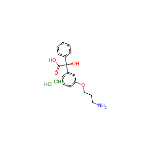 Cl.Cl.NCCCOc1cccc([C@](O)(C(=O)O)c2ccccc2)c1